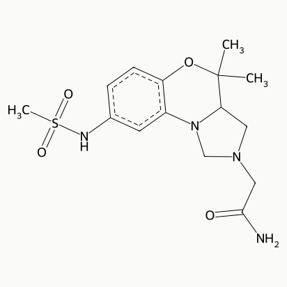 CC1(C)Oc2ccc(NS(C)(=O)=O)cc2N2CN(CC(N)=O)CC21